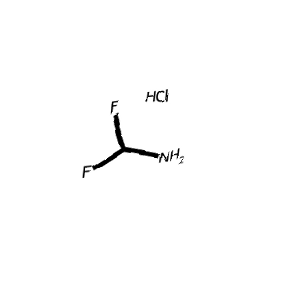 Cl.NC(F)F